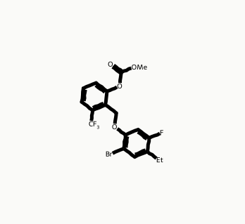 CCc1cc(Br)c(OCc2c(OC(=O)OC)cccc2C(F)(F)F)cc1F